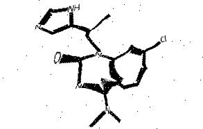 C[C@H](c1cnc[nH]1)n1c(=O)nc(N(C)C)c2ccc(Cl)cc21